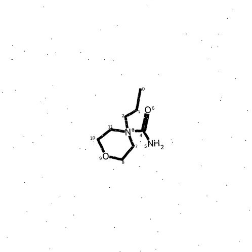 CCC[N+]1(C(N)=O)CCOCC1